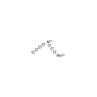 [Al+3].[Cl-].[Cl-].[Cl-].[Cl-].[Cl-].[Cl-].[Cl-].[Mo+4]